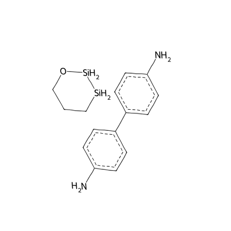 C1CO[SiH2][SiH2]C1.Nc1ccc(-c2ccc(N)cc2)cc1